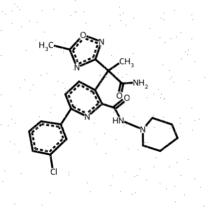 Cc1nc(C(C)(C(N)=O)c2ccc(-c3cccc(Cl)c3)nc2C(=O)NN2CCCCC2)no1